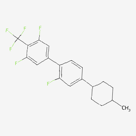 CC1CCC(c2ccc(-c3cc(F)c(C(F)(F)F)c(F)c3)c(F)c2)CC1